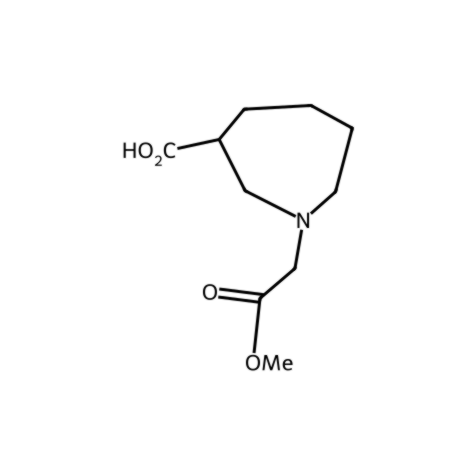 COC(=O)CN1CCCCC(C(=O)O)C1